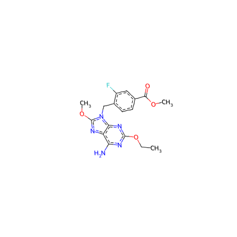 CCOc1nc(N)c2nc(OC)n(Cc3ccc(C(=O)OC)cc3F)c2n1